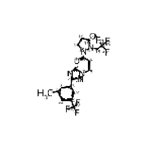 Cc1cc(-c2ncn(/C=C\C(=O)N3CCC(=O)N3CC(F)(F)F)n2)cc(C(F)(F)F)c1